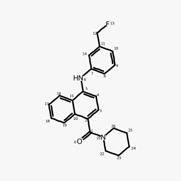 O=C(c1ccc(Nc2cccc(CF)c2)c2ccccc12)N1CCCCC1